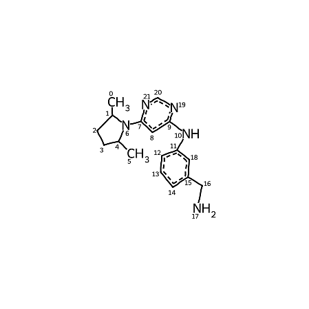 CC1CCC(C)N1c1cc(Nc2cccc(CN)c2)ncn1